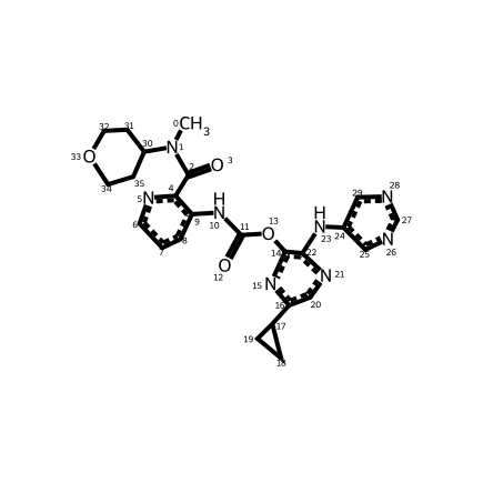 CN(C(=O)c1ncccc1NC(=O)Oc1nc(C2CC2)cnc1Nc1cncnc1)C1CCOCC1